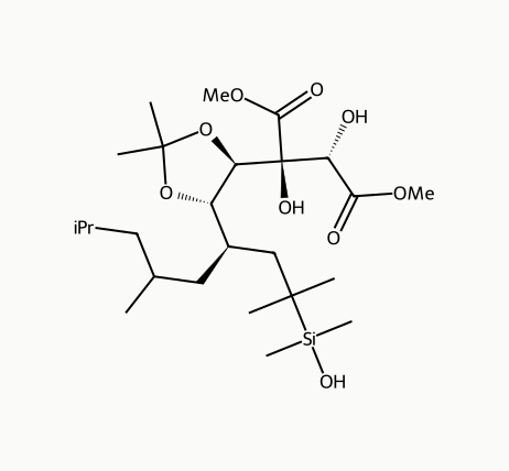 COC(=O)[C@@H](O)[C@@](O)(C(=O)OC)[C@@H]1OC(C)(C)O[C@H]1[C@H](CC(C)CC(C)C)CC(C)(C)[Si](C)(C)O